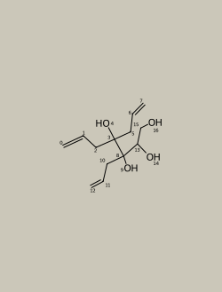 C=CCC(O)(CC=C)C(O)(CC=C)C(O)CO